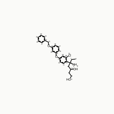 CCC(N)(CC(O)CCO)c1ccc(Oc2cccc(OCc3ccccc3)c2)cc1Cl